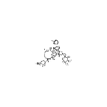 CC[C@H]1CCC[C@H](O[C@H]2CC[C@H](NC)C(C)O2)[C@@H](C)C(=O)C2=C[C@@H]3C(c4nc(-c5cccc(C)c5)sc4C4C[C@@H](O[C@@H]5OC(C)[C@H](OC)C(OC)C5OC)C[C@H]43)[C@@H]2CC(=O)O1